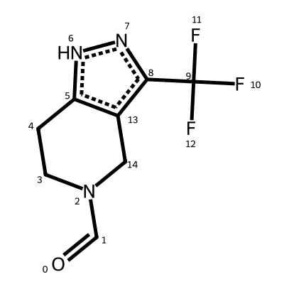 O=CN1CCc2[nH]nc(C(F)(F)F)c2C1